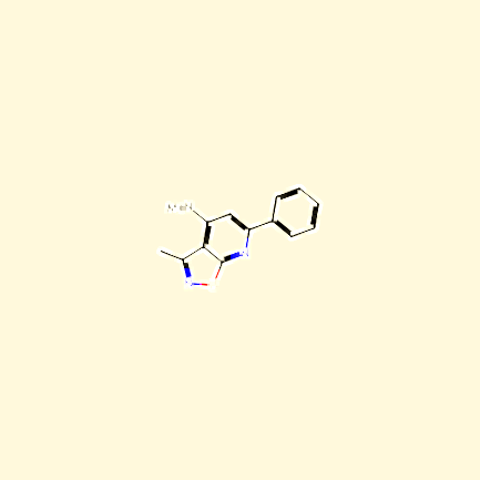 CNc1cc(-c2ccccc2)nc2onc(C)c12